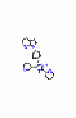 c1ccc(-c2nc(-c3cccnc3)c(-c3ccc(-n4ccc5cccnc54)cc3)[nH]2)nc1